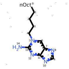 CCCCCCCCCCCCn1cc2ncnc-2nc1N